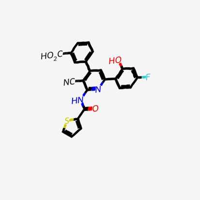 N#Cc1c(-c2cccc(C(=O)O)c2)cc(-c2ccc(F)cc2O)nc1NC(=O)c1cccs1